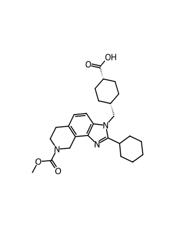 COC(=O)N1CCc2ccc3c(nc(C4CCCCC4)n3C[C@H]3CC[C@@H](C(=O)O)CC3)c2C1